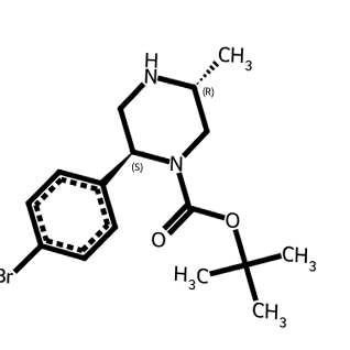 C[C@@H]1CN(C(=O)OC(C)(C)C)[C@@H](c2ccc(Br)cc2)CN1